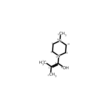 CC(C)=C(O)N1CCN(C)CC1